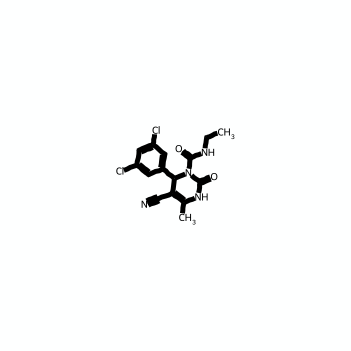 CCNC(=O)N1C(=O)NC(C)=C(C#N)C1c1cc(Cl)cc(Cl)c1